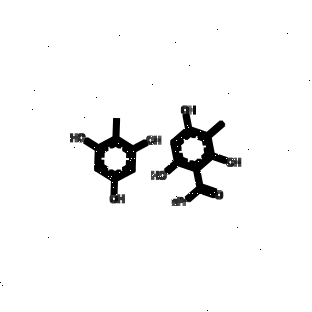 CCCC(=O)c1c(O)cc(O)c(C)c1O.Cc1c(O)cc(O)cc1O